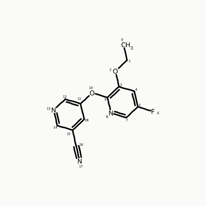 CCOc1cc(F)cnc1Oc1cncc(C#N)c1